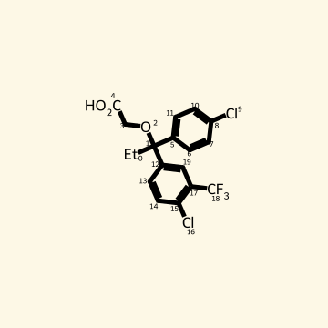 CCC(OCC(=O)O)(c1ccc(Cl)cc1)c1ccc(Cl)c(C(F)(F)F)c1